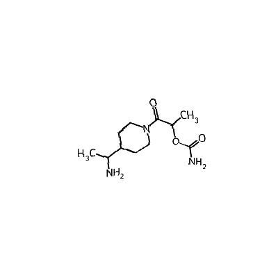 CC(OC(N)=O)C(=O)N1CCC(C(C)N)CC1